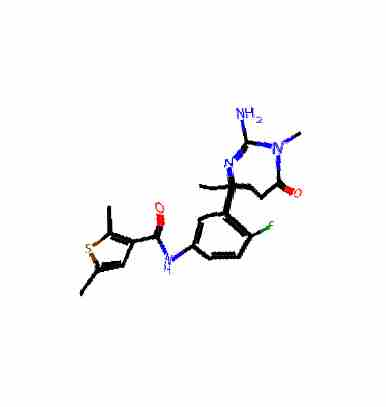 Cc1cc(C(=O)Nc2ccc(F)c(C3(C)CC(=O)N(C)C(N)=N3)c2)c(C)s1